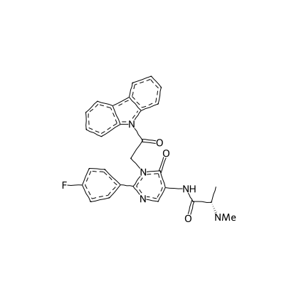 CN[C@@H](C)C(=O)Nc1cnc(-c2ccc(F)cc2)n(CC(=O)n2c3ccccc3c3ccccc32)c1=O